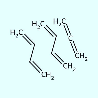 C=C=C.C=CC=C.C=CC=C